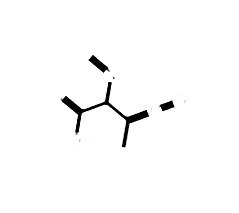 C=NC(C(O)=S)C(C)=C=O